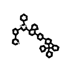 c1ccc(-c2nc(-c3cccc(-c4cccnc4)c3)cc(-c3ccc(-c4ccc(-c5ccc6c(c5)C(c5ccccc5)(c5ccccc5)c5ccccc5-6)cc4)c4ccccc34)n2)cc1